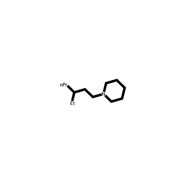 CCCC(CC)CCN1CCCCC1